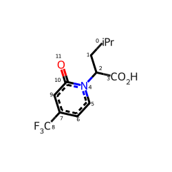 CC(C)CC(C(=O)O)n1ccc(C(F)(F)F)cc1=O